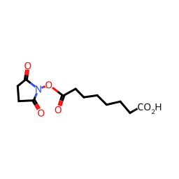 O=C(O)CCCCCCC(=O)ON1C(=O)CCC1=O